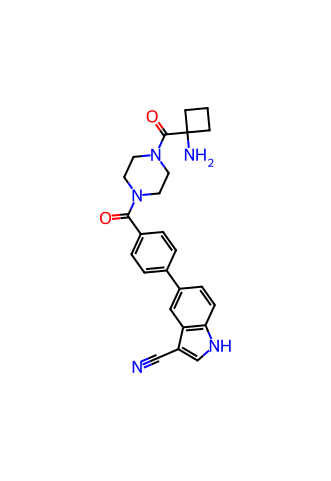 N#Cc1c[nH]c2ccc(-c3ccc(C(=O)N4CCN(C(=O)C5(N)CCC5)CC4)cc3)cc12